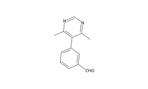 Cc1ncnc(C)c1-c1cccc(C=O)c1